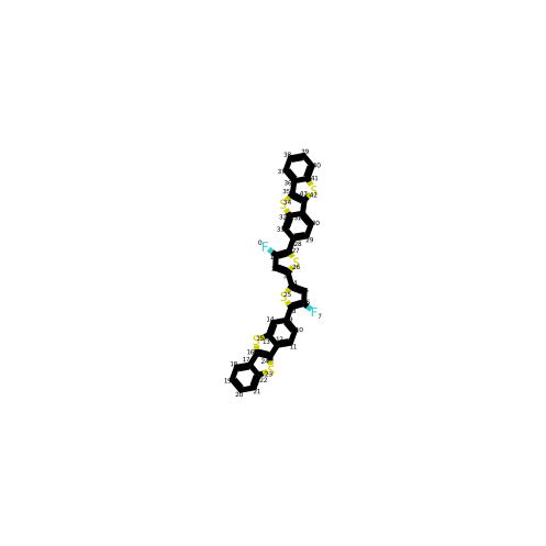 Fc1cc(-c2cc(F)c(-c3ccc4c(c3)sc3c5ccccc5sc43)s2)sc1-c1ccc2c(c1)sc1c3ccccc3sc21